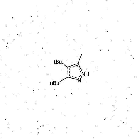 CCCCc1n[nH]c(C)c1C(C)(C)C